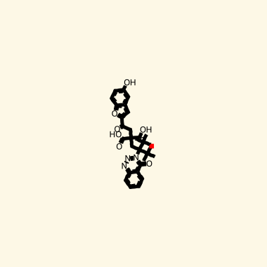 CC(C)(C)C(CC(CC(=O)c1cc2cc(O)ccc2o1)(C(=O)O)C(=O)O)(n1nnc2ccccc2c1=O)C(C)(C)C